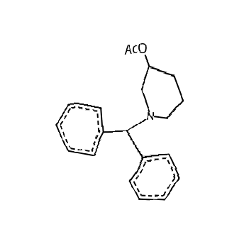 CC(=O)OC1CCCN(C(c2ccccc2)c2ccccc2)C1